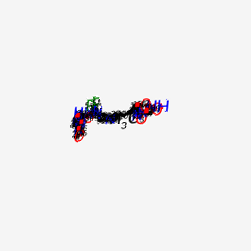 Cn1c(=O)n(C2CCC(=O)NC2=O)c2cccc(C#CCCC3CCN(CC4CCC(n5cc(NC(=O)c6cnn7ccc(N8CCOCC8)nc67)c(C(F)F)n5)CC4)CC3)c21